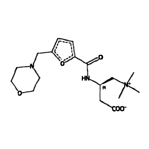 C[N+](C)(C)C[C@@H](CC(=O)[O-])NC(=O)c1ccc(CN2CCOCC2)o1